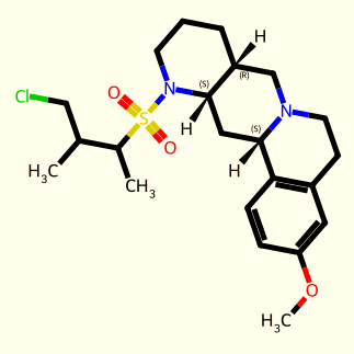 COc1ccc2c(c1)CCN1C[C@H]3CCCN(S(=O)(=O)C(C)C(C)CCl)[C@H]3C[C@@H]21